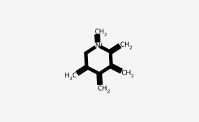 C=C1C[N+](=C)C(=C)C(=C)C1=C